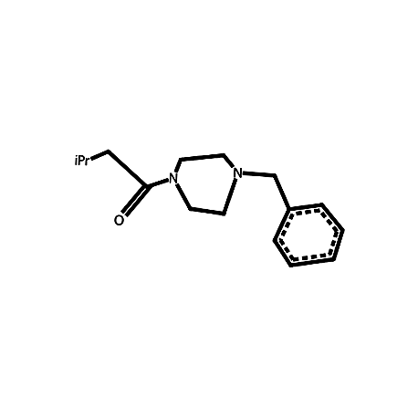 [CH2]C(C)CC(=O)N1CCN(Cc2ccccc2)CC1